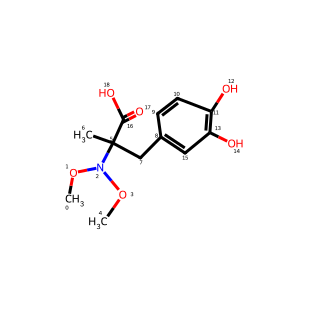 CON(OC)C(C)(Cc1ccc(O)c(O)c1)C(=O)O